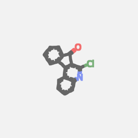 O=C1c2ccccc2-c2c1c(Cl)nc1ccccc21